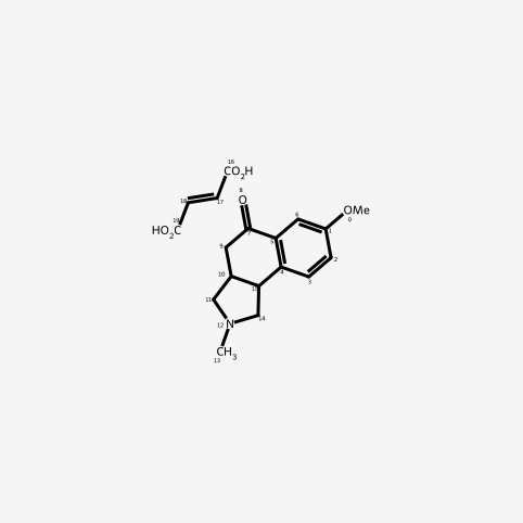 COc1ccc2c(c1)C(=O)CC1CN(C)CC21.O=C(O)C=CC(=O)O